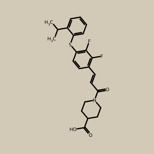 CC(C)c1ccccc1Sc1ccc(C=CC(=O)N2CCC(C(=O)O)CC2)c(F)c1F